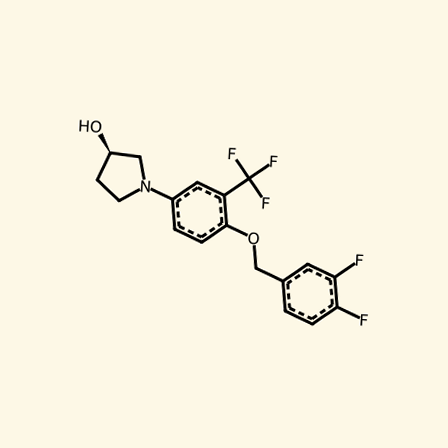 O[C@@H]1CCN(c2ccc(OCc3ccc(F)c(F)c3)c(C(F)(F)F)c2)C1